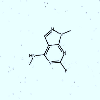 CNc1nc(F)nc2c1cnn2C